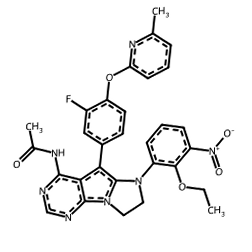 CCOc1c(N2CCn3c2c(-c2ccc(Oc4cccc(C)n4)c(F)c2)c2c(NC(C)=O)ncnc23)cccc1[N+](=O)[O-]